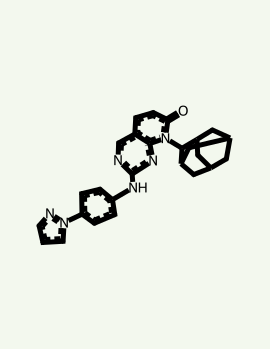 O=c1ccc2cnc(Nc3ccc(-n4cccn4)cc3)nc2n1C1C2CC3CC(C2)CC1C3